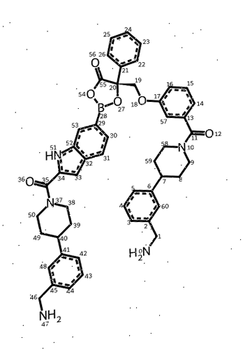 NCc1cccc(C2CCN(C(=O)c3cccc(OC[C@@]4(c5ccccc5)OB(c5ccc6cc(C(=O)N7CCC(c8cccc(CN)c8)CC7)[nH]c6c5)OC4=O)c3)CC2)c1